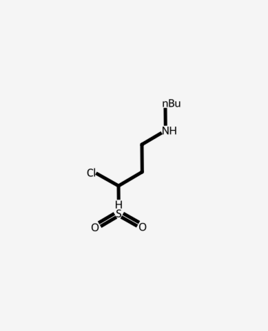 CCCCNCCC(Cl)[SH](=O)=O